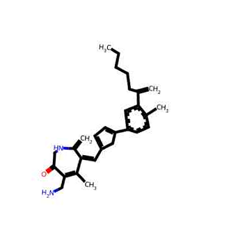 C=C1NCC(=O)C(CN)=C(C)/C1=C/C1=CC=C(c2ccc(C)c(C(=C)CCCCC)c2)C1